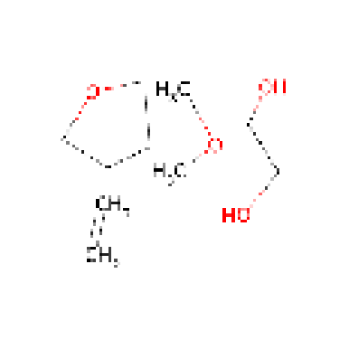 C1CCOC1.C=C.COC.OCCO